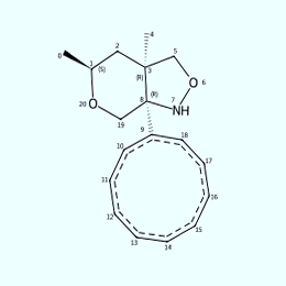 C[C@H]1C[C@@]2(C)CON[C@@]2(c2ccccccccc2)CO1